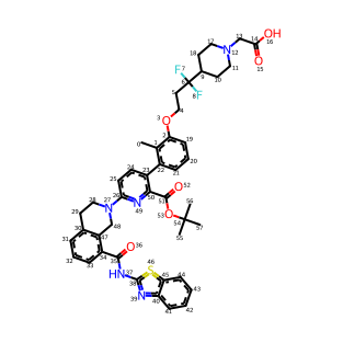 Cc1c(OCCC(F)(F)C2CCN(CC(=O)O)CC2)cccc1-c1ccc(N2CCc3cccc(C(=O)Nc4nc5ccccc5s4)c3C2)nc1C(=O)OC(C)(C)C